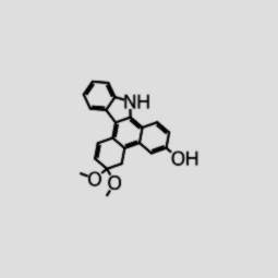 COC1(OC)C=Cc2c(c3cc(O)ccc3c3[nH]c4ccccc4c23)C1